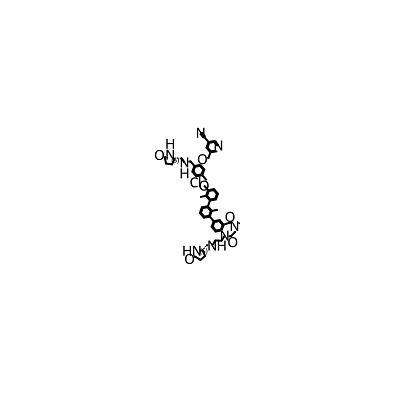 Cc1c(OCc2cc(OCc3cncc(C#N)c3)c(CNC[C@@H]3CCC(=O)N3)cc2Cl)cccc1-c1cccc(-c2ccc3c(c2)C(=O)N(C)CC(=O)N3CCNC[C@@H]2CCC(=O)N2)c1C